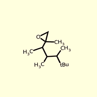 CC(C(C)C(C)(C)C)C(C)C1(C)CO1